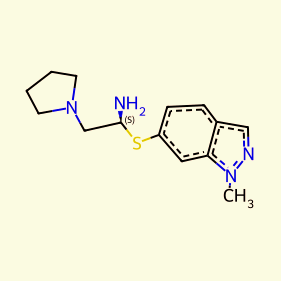 Cn1ncc2ccc(S[C@H](N)CN3CCCC3)cc21